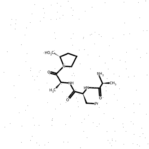 CC(C)C[C@H](NC(=O)[C@H](C)N)C(=O)N[C@@H](C)C(=O)N1CCC[C@H]1C(=O)O